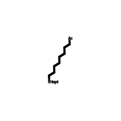 [CH]C(=O)CCCCCCCCCCCCCCC